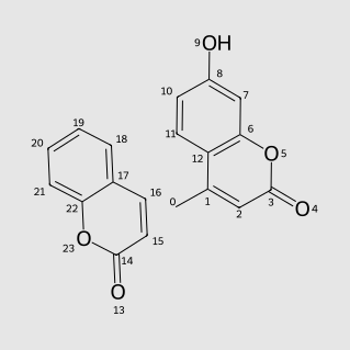 Cc1cc(=O)oc2cc(O)ccc12.O=c1ccc2ccccc2o1